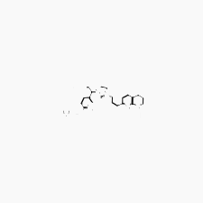 COc1ccc(C(CC(=O)O)N2CCN(C/C=C\c3ccc4c(n3)NCCC4)C2=O)cn1